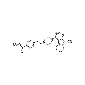 COC(=O)c1ccc(CCN2CCN(c3ncnc4c(C#N)c5n(c34)CCCC5)CC2)cc1